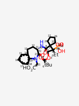 CCC(COC(=O)C(C)(C)C)(C1(C(=O)N[C@H]2CCc3ccccc3N(CC(=O)O)C2=O)CCCC1)P(=O)(O)O